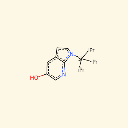 CC(C)[Si](C(C)C)(C(C)C)n1ccc2cc(O)cnc21